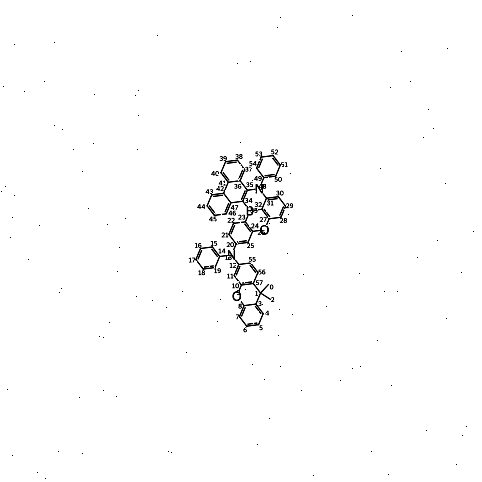 CC1(C)c2ccccc2Oc2cc(N(c3ccccc3)c3ccc4c(c3)Oc3cccc5c3B4c3c(c4ccccc4c4ccccc34)N5c3ccccc3)ccc21